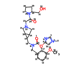 Cn1cnc(OC(=O)N(Cc2cccc(OC(F)(F)F)c2)CC2C3CN(CC(=O)N4CCCC4CO)CC32)c1